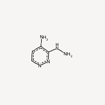 NNc1nnccc1N